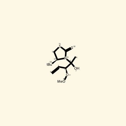 C=C[C@H](OOC)C(C)(O)N1C(=S)SC[C@@H]1C(C)(C)C